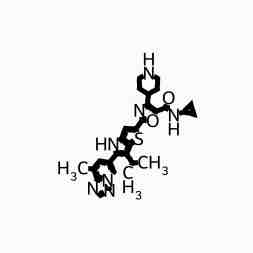 Cc1cc(-c2[nH]c3cc(-c4nc(C5CCNCC5)c(C(=O)NC5CC5)o4)sc3c2C(C)C)cn2ncnc12